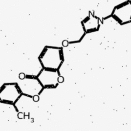 Cc1ccccc1Oc1coc2cc(OCc3cnn(-c4ccccc4)c3)ccc2c1=O